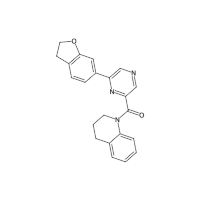 O=C(c1cncc(-c2ccc3c(c2)OCC3)n1)N1CCCc2ccccc21